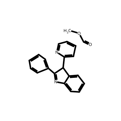 COC=O.c1ccc(C2=Nc3ccccc3C2c2ccccn2)cc1